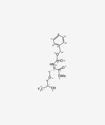 COC(=O)[C@H](COCC(O)C(F)(F)F)NC(=O)OCc1ccccc1